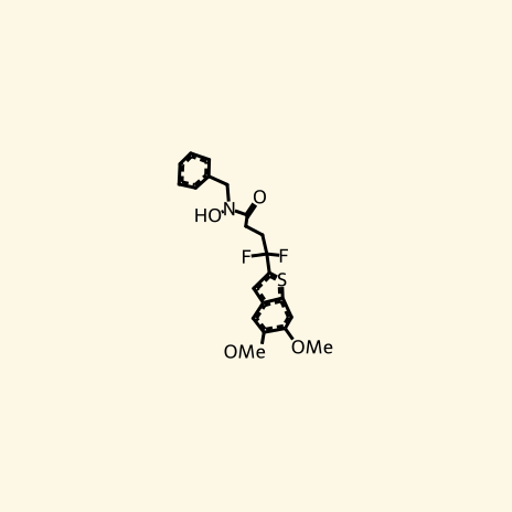 COc1cc2cc(C(F)(F)CCC(=O)N(O)Cc3ccccc3)sc2cc1OC